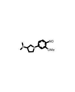 COc1cc(N2CCC(N(C)C)C2)ccc1N=O